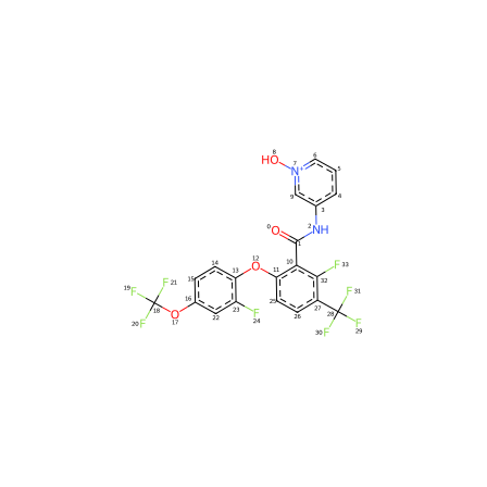 O=C(Nc1ccc[n+](O)c1)c1c(Oc2ccc(OC(F)(F)F)cc2F)ccc(C(F)(F)F)c1F